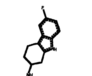 NC1CCc2c([nH]c3ccc(F)cc23)C1